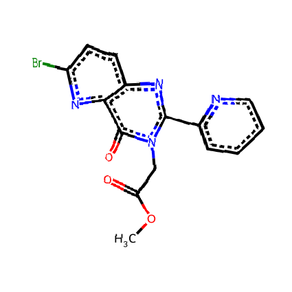 COC(=O)Cn1c(-c2ccccn2)nc2ccc(Br)nc2c1=O